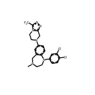 CN1CCN(c2ccc(Cl)c(Cl)c2)c2ccc(N3CCn4c(nnc4C(F)(F)F)C3)cc2C1